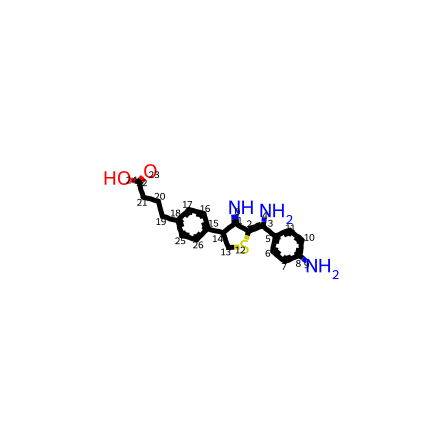 N=C1/C(=C(\N)c2ccc(N)cc2)SCC1c1ccc(CCCC(=O)O)cc1